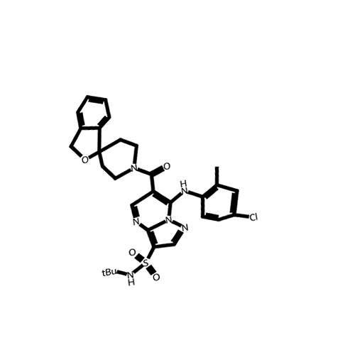 Cc1cc(Cl)ccc1Nc1c(C(=O)N2CCC3(CC2)OCc2ccccc23)cnc2c(S(=O)(=O)NC(C)(C)C)cnn12